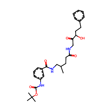 CC(CCC(=O)NCC(=O)C(O)CCc1ccccc1)CNC(=O)c1cccc(NC(=O)OC(C)(C)C)c1